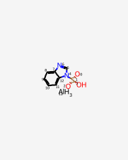 O=S(=O)(O)n1cnc2ccccc21.[AlH3]